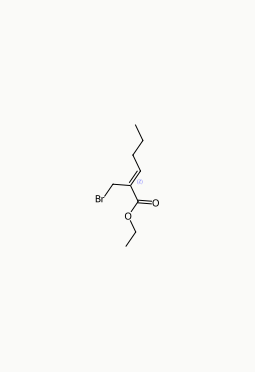 CCC/C=C(\CBr)C(=O)OCC